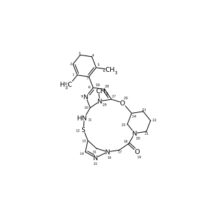 CC1=CCCC(C)=C1C1=NC2NSC3C=NN(CC(=O)N4CCCC(C4)OC(=C1)N2C)C3